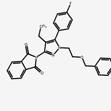 CCc1c(N2C(=O)c3ccccc3C2=O)nn(CCOCc2ccccc2)c1-c1ccc(F)cc1